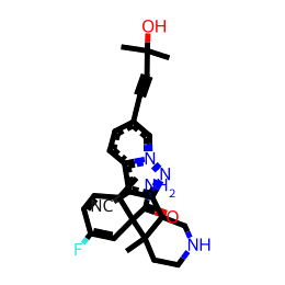 CC1C=CC(F)=CC1(C(N)=O)C1(C)CCNCC1c1nn2cc(C#CC(C)(C)O)ccc2c1C#N